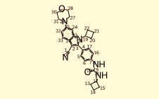 N#Cc1c(-c2ccc(NC(=O)NC3CCC3)cc2)n(C2CCC2)c2cc(N3CCOCC3)ccc12